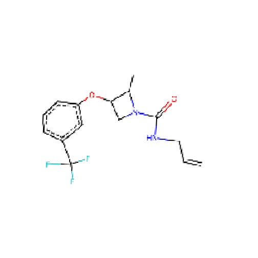 C=CCNC(=O)N1CC(Oc2cccc(C(F)(F)F)c2)C1C